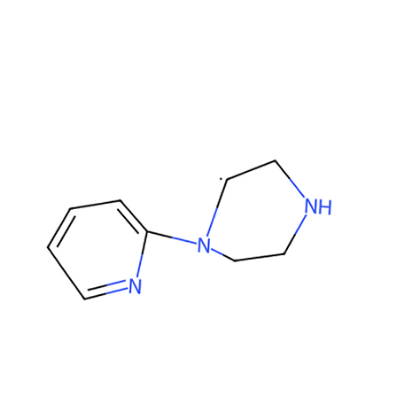 [CH]1CNCCN1c1ccccn1